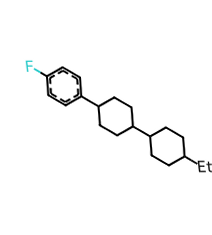 CCC1CCC(C2CCC(c3ccc(F)cc3)CC2)CC1